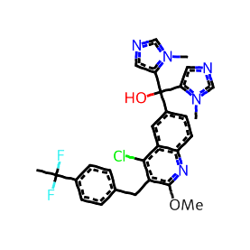 COc1nc2ccc(C(O)(c3cncn3C)c3cncn3C)cc2c(Cl)c1Cc1ccc(C(C)(F)F)cc1